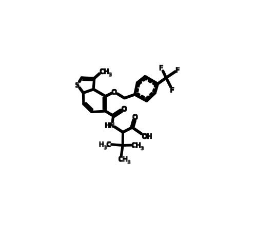 CC1=CSC2C=CC(C(=O)NC(C(=O)O)C(C)(C)C)=C(OCc3ccc(C(F)(F)F)cc3)C12